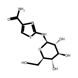 NC(=O)c1csc(N[C@@H]2O[C@H](CO)[C@@H](O)[C@H](O)[C@H]2O)n1